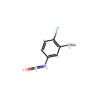 COc1cc(N=C=O)ccc1F